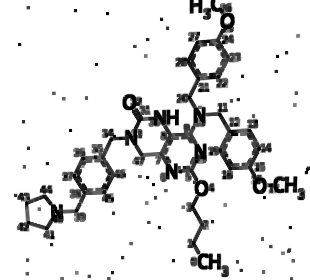 CCCCOc1nc2c(c(N(Cc3ccc(OC)cc3)Cc3ccc(OC)cc3)n1)NC(=O)N(Cc1ccc(CN3CCCC3)cc1)C2